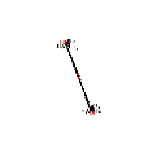 Cc1cc(C(C)(C)C)c(O)c(C)c1CCCCCCCCCCCCCCCCCCCOCCCCCCCCCCCCCCCCCCCc1c(C)cc(C(C)(C)C)c(O)c1C